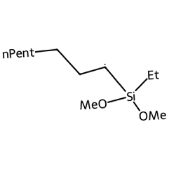 CCCCCCC[CH][Si](CC)(OC)OC